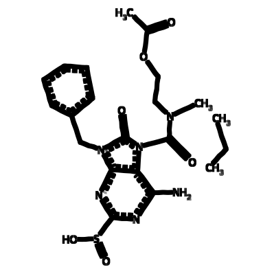 CC(=O)OCCN(C)C(=O)n1c(=O)n(Cc2ccccc2)c2nc(S(=O)O)nc(N)c21.CCC